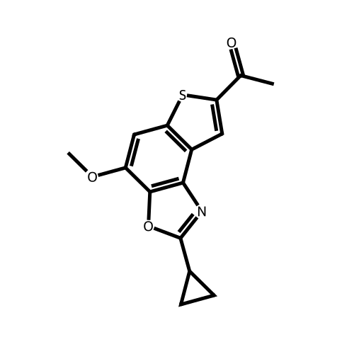 COc1cc2sc(C(C)=O)cc2c2nc(C3CC3)oc12